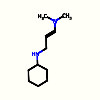 CN(C)C=CCNC1CCCCC1